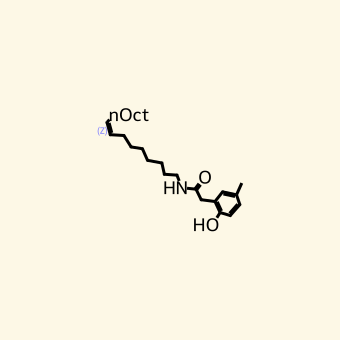 CCCCCCCC/C=C\CCCCCCCNC(=O)Cc1cc(C)ccc1O